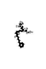 CCOP(=O)(C=C[C@@](C)(CCc1ccc(C(=O)CCCCc2ccccc2)o1)NC(=O)OC(C)(C)C)OCC